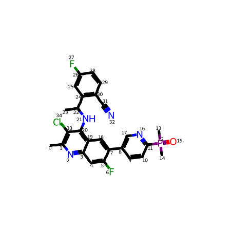 Cc1nc2cc(F)c(-c3ccc(P(C)(C)=O)nc3)cc2c(NC(C)c2cc(F)ccc2C#N)c1Cl